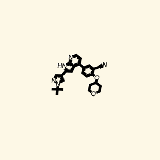 CC(C)(C)n1cc(-c2cc3c(-c4ccc(OC5CCOCC5)c(C#N)c4)ccnc3[nH]2)cn1